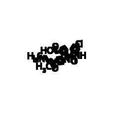 CNCCCN(C(C)=O)c1ccc(N/C(=C2\C(=O)Nc3cc(Cl)ccc32)c2cccc(CC(=O)O)c2)cc1